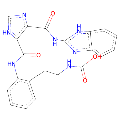 O=C(O)NCCc1ccccc1NC(=O)c1[nH]cnc1C(=O)Nc1nc2ccccc2[nH]1